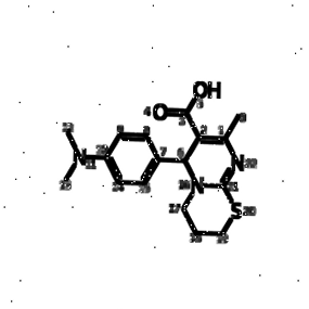 CC1=C(C(=O)O)C(c2ccc(N(C)C)cc2)N2CCCSC2=N1